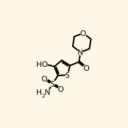 NS(=O)(=O)c1sc(C(=O)N2CCOCC2)cc1O